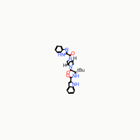 CC(C)(C)[C@H](NC(=O)c1cc2ccccc2[nH]1)C(=O)N1C[C@@H]2C[C@H]1CN2C(=O)c1nc2ccccc2[nH]1